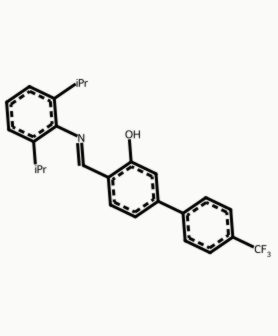 CC(C)c1cccc(C(C)C)c1/N=C/c1ccc(-c2ccc(C(F)(F)F)cc2)cc1O